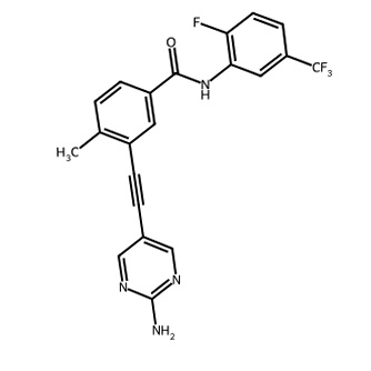 Cc1ccc(C(=O)Nc2cc(C(F)(F)F)ccc2F)cc1C#Cc1cnc(N)nc1